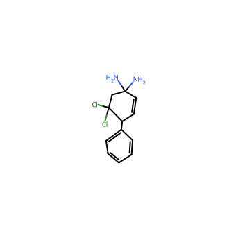 NC1(N)C=CC(c2ccccc2)C(Cl)(Cl)C1